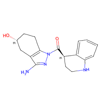 Nc1nn(C(=O)[C@@H]2CCNc3ccccc32)c2c1C[C@H](O)CC2